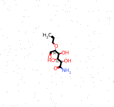 C=CCO[C@@H](C=O)[C@@H](O)[C@H](O)[C@H](O)C(N)=O